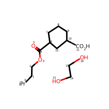 CC(C)CCOC(=O)C1CCCC(C(=O)O)C1.OCCO